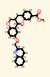 COC(=O)c1ccc(CC2COc3ccc(OCc4ccc5ccccc5n4)cc3C2=O)cc1